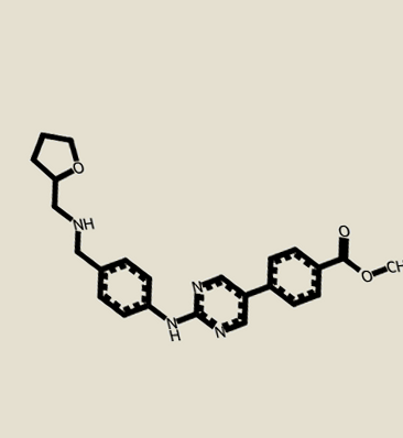 COC(=O)c1ccc(-c2cnc(Nc3ccc(CNCC4CCCO4)cc3)nc2)cc1